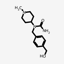 CN1CCC(N(Cc2ccc(CO)cc2)C(N)=O)CC1